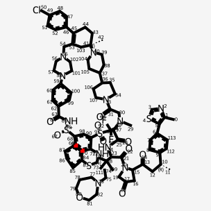 Cc1ncsc1-c1ccc([C@H](C)CC(=O)C2CC(=O)CN2C(=O)C(NC(=O)CN(C)CC(=O)N2CCC(C3CCN([C@]4(C)CCC(c5ccc(Cl)cc5)=C(CN5CCN(c6ccc(C(=O)N[S+]([O-])c7ccc(N[C@H](CCN8CCCOCC8)Sc8ccccc8)c(S(=O)(=O)C(F)(F)F)c7)cc6)CC5)C4)CC3)CC2)C(C)(C)C)cc1